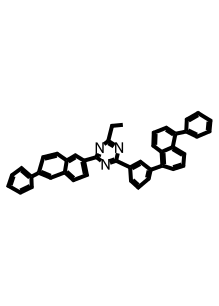 CCc1nc(-c2cccc(-c3cccc4c(-c5ccccc5)cccc34)c2)nc(-c2ccc3cc(-c4ccccc4)ccc3c2)n1